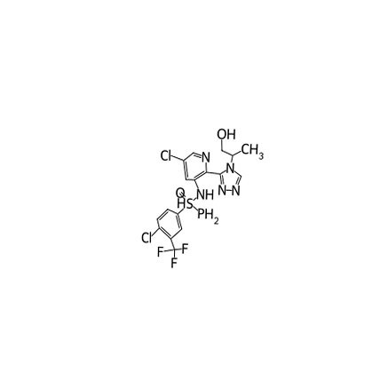 CC(CO)n1cnnc1-c1ncc(Cl)cc1N[SH](=O)(P)c1ccc(Cl)c(C(F)(F)F)c1